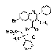 Cc1c(-c2ccccc2)nc2ccc(Br)cc2c1C(=O)NCC(C)(CC(=O)O)c1ccccc1Cl